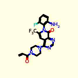 C=CC(=O)N1CCN(c2ncnc3c(=O)n(-c4c(N)cccc4F)c(C(F)(F)F)cc23)CC1